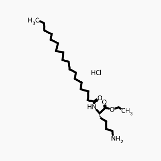 CCCCCCCCCCCCCCCCCC(=O)N[C@@H](CCCCN)C(=O)OCC.Cl